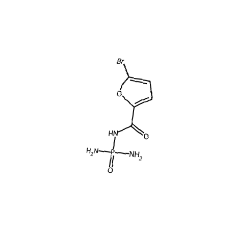 NP(N)(=O)NC(=O)c1ccc(Br)o1